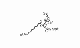 CCCCCCCCCCCCCCCCCC(=O)OC(COC(=O)CCCCCCC)COP(=O)(O)OCC[N+](C)(C)C